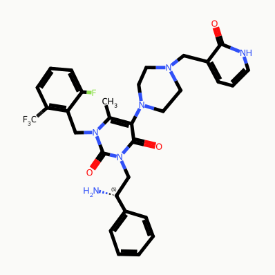 Cc1c(N2CCN(Cc3ccc[nH]c3=O)CC2)c(=O)n(C[C@@H](N)c2ccccc2)c(=O)n1Cc1c(F)cccc1C(F)(F)F